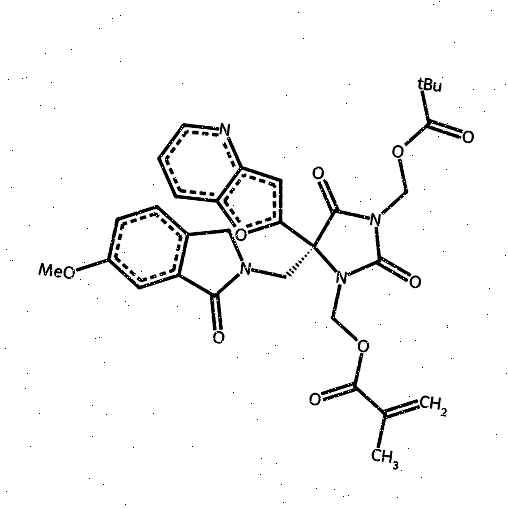 C=C(C)C(=O)OCN1C(=O)N(COC(=O)C(C)(C)C)C(=O)[C@]1(CN1Cc2ccc(OC)cc2C1=O)c1cc2ncccc2o1